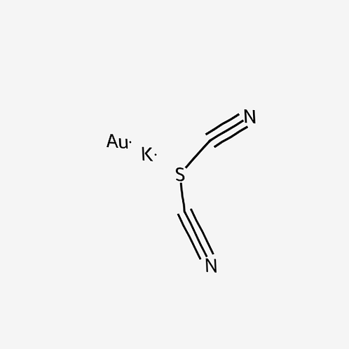 N#CSC#N.[Au].[K]